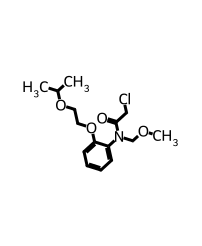 COCN(C(=O)CCl)c1ccccc1OCCOC(C)C